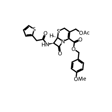 COc1ccc(COC(=O)C2=C(COC(C)=O)CS[C@@H]3[C@H](NC(=O)Cc4cccs4)C(=O)N23)cc1